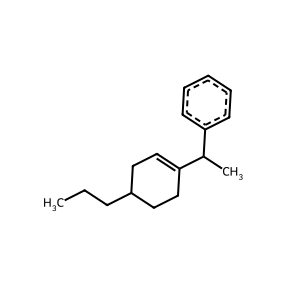 CCCC1CC=C(C(C)c2ccccc2)CC1